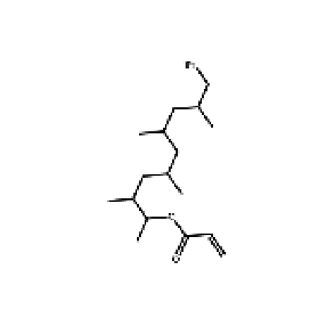 C=CC(=O)OC(C)C(C)CC(C)CC(C)CC(C)CC(C)C